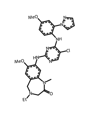 CCN1CC(=O)N(C)c2cc(Nc3ncc(Cl)c(Nc4ccc(OC)cc4-n4cccn4)n3)c(OC)cc2C1